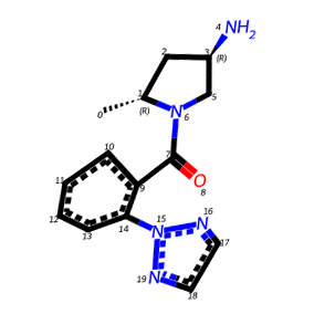 C[C@@H]1C[C@@H](N)CN1C(=O)c1ccccc1-n1nccn1